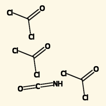 N=C=O.O=C(Cl)Cl.O=C(Cl)Cl.O=C(Cl)Cl